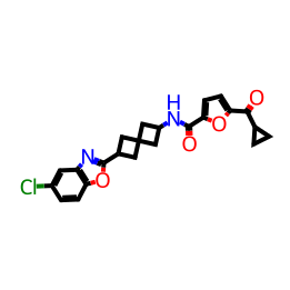 O=C(NC1CC2(C1)CC(c1nc3cc(Cl)ccc3o1)C2)c1ccc(C(=O)C2CC2)o1